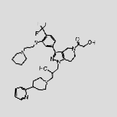 O=C(CO)N1CCc2c(c(-c3ccc(C(F)(F)F)c(SCCN4CCCCC4)c3)nn2CC(O)CN2CCC(c3ccccn3)CC2)C1